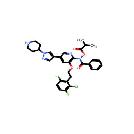 CC(C)C(=O)ON(C(=O)c1ccccc1)c1ncc(-c2cnn(C3CCNCC3)c2)cc1OCCc1c(Cl)ccc(F)c1Cl